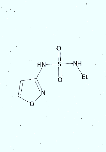 CCNS(=O)(=O)Nc1ccon1